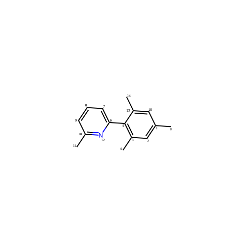 Cc1cc(C)c(-c2cccc(C)n2)c(C)c1